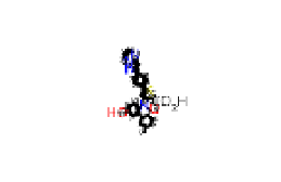 C[C@H]1CC[C@H](C(=O)N(c2cc(-c3ccc(-c4cc5ncccn5n4)cc3)sc2C(=O)O)C2CCC(O)CC2)CC1